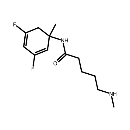 CNCCCCC(=O)NC1(C)C=C(F)C=C(F)C1